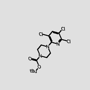 CC(C)(C)OC(=O)N1CCN(c2nc(Cl)c(Cl)cc2Cl)CC1